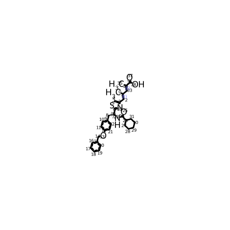 CC(=C\c1csc([C@H](Cc2ccc(OCc3ccccc3)cc2)NC(=O)C2CCCCC2)n1)/C=C(\C)C(=O)O